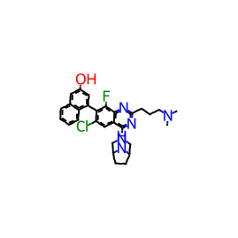 CN(C)CCCc1nc(N2CC3CCC(C2)N3)c2cc(Cl)c(-c3cc(O)cc4ccccc34)c(F)c2n1